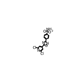 NS(=O)(=O)c1ccc(-c2noc(-c3cc(Cl)nc(Cl)c3)n2)cc1